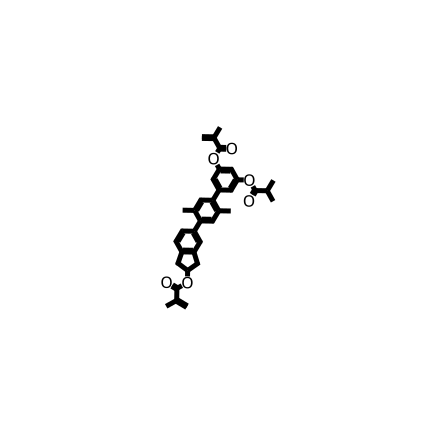 C=C(C)C(=O)Oc1cc(OC(=O)C(C)C)cc(-c2cc(C)c(-c3ccc4c(c3)CC(OC(=O)C(=C)C)C4)cc2C)c1